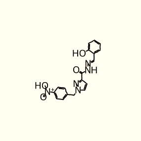 O=C(N/N=C/c1ccccc1O)c1ccn(Cc2ccc([N+](=O)O)cc2)n1